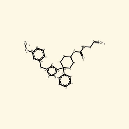 C=CCNC(=O)OC1CCC(c2ccccc2)(c2noc(Cc3cccc(OC)c3)n2)CC1